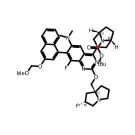 COCOc1cc(-c2c(N(C)C)cc3c(N4C[C@H]5CC[C@@H](C4)N5C(=O)OC(C)(C)C)nc(OC[C@@]45CCCN4C[C@H](F)C5)nc3c2F)c2ccccc2c1